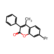 Cc1c(-c2ccccc2)c(=O)oc2cc(C(C)C)ccc12